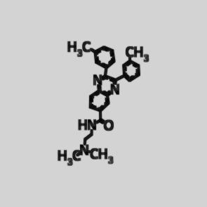 Cc1cccc(-c2nc3ccc(C(=O)NCCN(C)C)cc3nc2-c2cccc(C)c2)c1